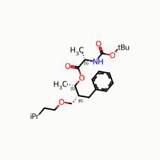 CC(C)CCOC[C@@H](Cc1ccccc1)[C@H](C)OC(=O)[C@H](C)NC(=O)OC(C)(C)C